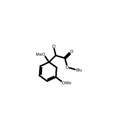 COC1=CC=CC(OC)(C(Cl)C(=O)OC(C)(C)C)C1